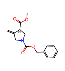 C=C1CN(C(=O)OCc2ccccc2)C[C@@H]1C(=O)OC